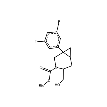 CC(C)(C)OC(=O)N1CC2(c3cc(F)cc(F)c3)CC2CC1CO